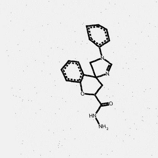 NNC(=O)C1CC2(CN(c3ccccc3)C=N2)c2ccccc2O1